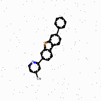 N#Cc1ccnc(-c2ccc3c(c2)sc2cc(-c4ccccc4)ccc23)c1